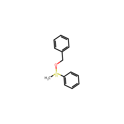 C[SH](OCc1ccccc1)c1ccccc1